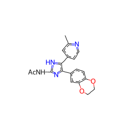 CC(=O)Nc1nc(-c2ccc3c(c2)OCCO3)c(-c2ccnc(C)c2)[nH]1